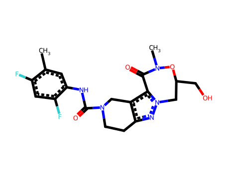 Cc1cc(NC(=O)N2CCc3nn4c(c3C2)C(=O)N(C)OC(CO)C4)c(F)cc1F